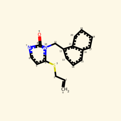 C=CCSc1ccnc(=O)n1Cc1cccc2ccccc12